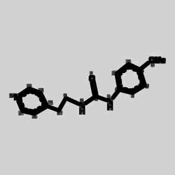 COc1ccc(NC(=O)NCCc2ccncc2)cc1